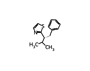 CC(C)[C@@H](Cc1ccccc1)c1nccs1